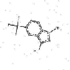 Cn1nc(N)c2ccc(C(F)(F)F)cc21